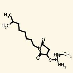 CNN(N)SC1CC(=O)N(CCCCCCC(C)C)C1=O